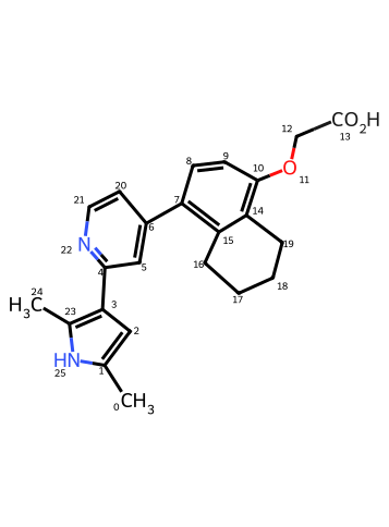 Cc1cc(-c2cc(-c3ccc(OCC(=O)O)c4c3CCCC4)ccn2)c(C)[nH]1